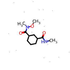 CNC(=O)C1CCCC(C(=O)N(C)OC)C1